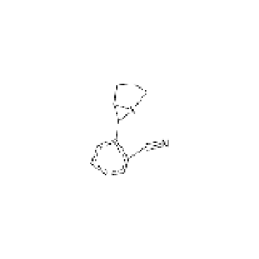 N#Cc1ccccc1C1C2CCCN21